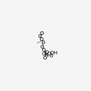 CCCc1cc(Oc2ccccc2)ccc1OCCOc1ccc(S(=O)(=O)N2c3ccccc3C[C@H]2OC(=O)O)cc1